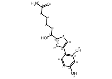 NC(=O)CCCCC(O)c1nc(-c2ccc(O)cc2O)cs1